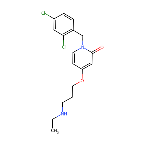 CCNCCCOc1ccn(Cc2ccc(Cl)cc2Cl)c(=O)c1